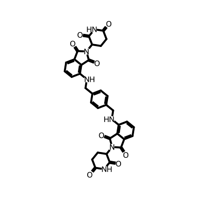 O=C1CCC(N2C(=O)c3cccc(NCc4ccc(CNc5cccc6c5C(=O)N(C5CCC(=O)NC5=O)C6=O)cc4)c3C2=O)C(=O)N1